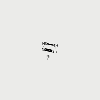 SS.[Ni].[S]=[Ni]